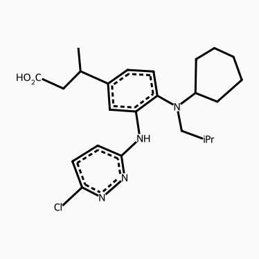 CC(C)CN(c1ccc(C(C)CC(=O)O)cc1Nc1ccc(Cl)nn1)C1CCCCC1